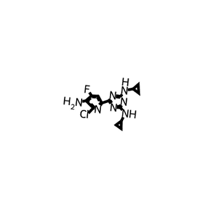 Nc1c(F)cc(-c2nc(NC3CC3)nc(NC3CC3)n2)nc1Cl